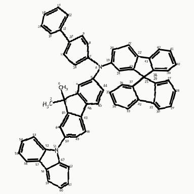 CC1(C)c2cc(N(c3ccc(-c4ccccc4)cc3)c3ccc4c(c3)C3(c5ccccc5-c5ccccc53)c3ccccc3-4)ccc2-c2ccc(-n3c4ccccc4c4ccccc43)cc21